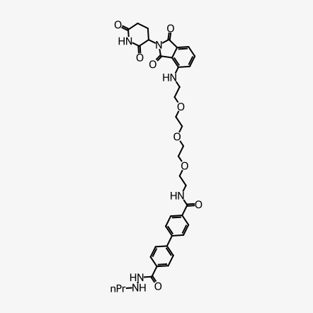 CCCNNC(=O)c1ccc(-c2ccc(C(=O)NCCOCCOCCOCCNc3cccc4c3C(=O)N(C3CCC(=O)NC3=O)C4=O)cc2)cc1